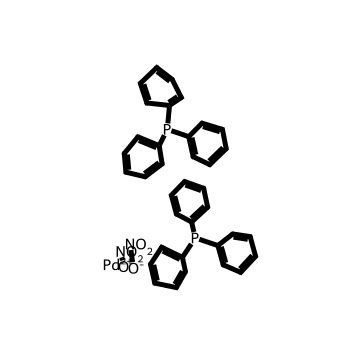 O=[N+]([O-])[O-].O=[N+]([O-])[O-].[Pd+2].c1ccc(P(c2ccccc2)c2ccccc2)cc1.c1ccc(P(c2ccccc2)c2ccccc2)cc1